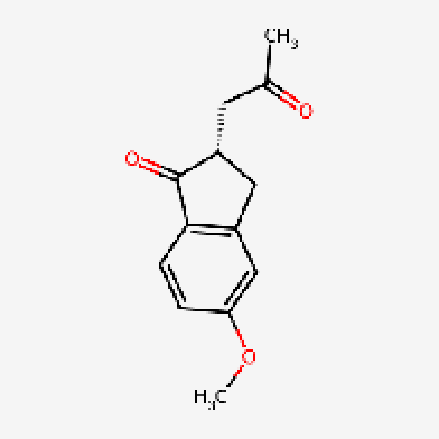 COc1ccc2c(c1)C[C@@H](CC(C)=O)C2=O